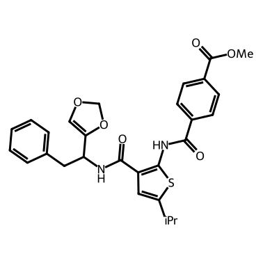 COC(=O)c1ccc(C(=O)Nc2sc(C(C)C)cc2C(=O)NC(Cc2ccccc2)C2=COCO2)cc1